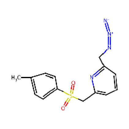 Cc1ccc(S(=O)(=O)Cc2cccc(CN=[N+]=[N-])n2)cc1